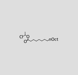 CCCCCCCCCCCCCCCC(=O)OC(C)Cl